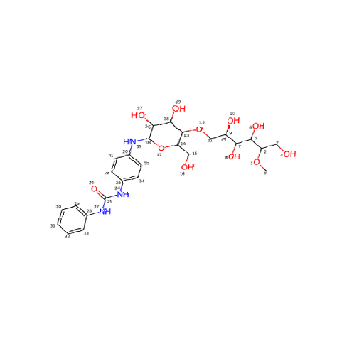 COC(CO)C(O)C(O)[C@H](O)COC1C(CO)OC(Nc2ccc(NC(=O)Nc3ccccc3)cc2)C(O)C1O